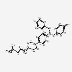 COC(=O)CCOC1CCC(c2ccc(N(Cc3ccccc3)Cc3ccccc3)cc2)CC1